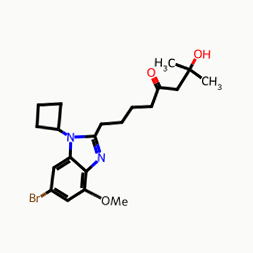 COc1cc(Br)cc2c1nc(CCCCC(=O)CC(C)(C)O)n2C1CCC1